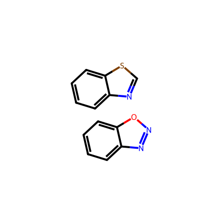 c1ccc2onnc2c1.c1ccc2scnc2c1